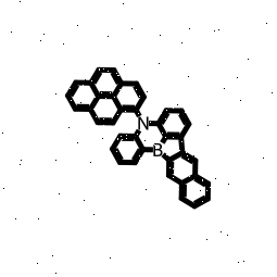 c1ccc2c(c1)B1c3cc4ccccc4cc3-c3cccc(c31)N2c1ccc2ccc3cccc4ccc1c2c34